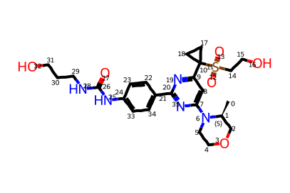 C[C@H]1COCCN1c1cc(C2(S(=O)(=O)CCO)CC2)nc(-c2ccc(NC(=O)NCCCO)cc2)n1